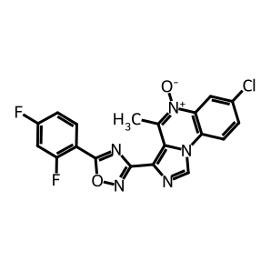 Cc1c2c(-c3noc(-c4ccc(F)cc4F)n3)ncn2c2ccc(Cl)cc2[n+]1[O-]